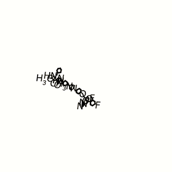 CC(NCc1ccccc1)C(C)n1cnn(-c2ccc(N3CCN(c4ccc(OCC5COC(Cn6cncn6)(c6ccc(F)cc6F)O5)cc4)CC3)cc2)c1=O